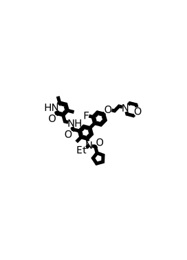 CCN(C(=O)C1CCCC1)c1cc(-c2ccc(OCCN3CCOCC3)cc2F)cc(C(=O)NCc2c(C)cc(C)[nH]c2=O)c1C